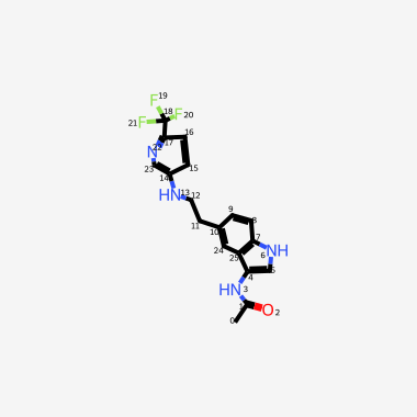 CC(=O)Nc1c[nH]c2ccc(CCNc3ccc(C(F)(F)F)nc3)cc12